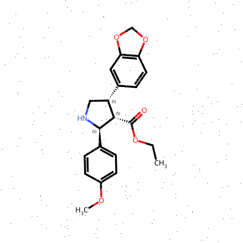 CCOC(=O)[C@H]1[C@@H](c2ccc3c(c2)OCO3)CN[C@@H]1c1ccc(OC)cc1